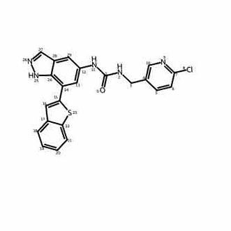 O=C(NCc1ccc(Cl)nc1)Nc1cc(-c2cc3ccccc3s2)c2[nH]ncc2c1